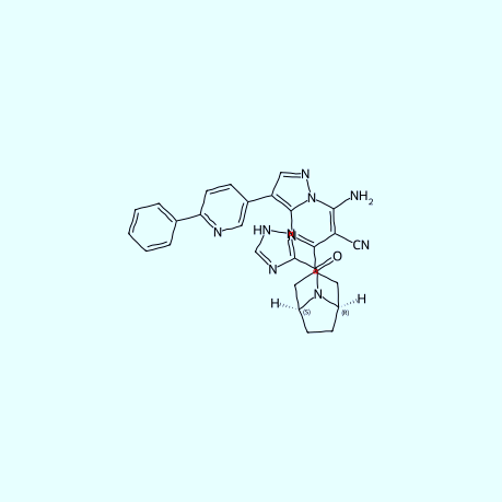 N#Cc1c(C2C[C@H]3CC[C@@H](C2)N3C(=O)c2nc[nH]n2)nc2c(-c3ccc(-c4ccccc4)nc3)cnn2c1N